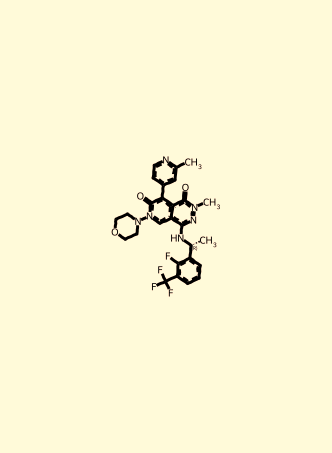 Cc1cc(-c2c(=O)n(N3CCOCC3)cc3c(N[C@H](C)c4cccc(C(F)(F)F)c4F)nn(C)c(=O)c23)ccn1